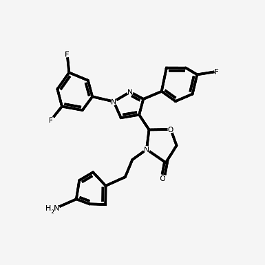 Nc1ccc(CCN2C(=O)COC2c2cn(-c3cc(F)cc(F)c3)nc2-c2ccc(F)cc2)cc1